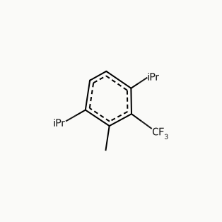 Cc1c(C(C)C)ccc(C(C)C)c1C(F)(F)F